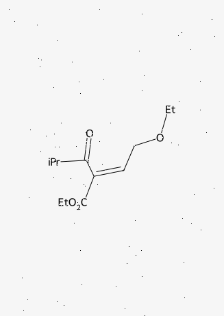 CCOCC=C(C(=O)OCC)C(=O)C(C)C